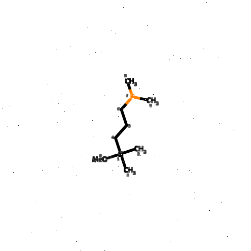 CO[Si](C)(C)CCCP(C)C